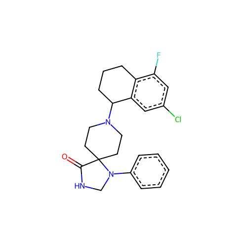 O=C1NCN(c2ccccc2)C12CCN(C1CCCc3c(F)cc(Cl)cc31)CC2